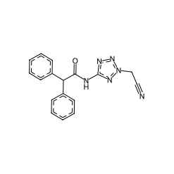 N#CCn1nnc(NC(=O)C(c2ccccc2)c2ccccc2)n1